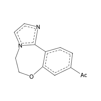 CC(=O)c1ccc2c(c1)OCCn1ccnc1-2